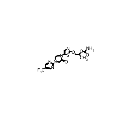 CC(COc1ncc(N2CCN(c3ncc(C(F)(F)F)cn3)CC2=O)s1)OC(N)=O